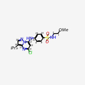 COCCNS(=O)(=O)c1ccc(Nc2cc(Cl)nc3c(C(C)C)cnn23)cc1